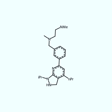 CCCc1cc(-c2cccc(CN(C)CCNC)c2)nc2c1CNN2C(C)C